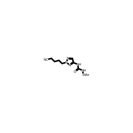 CSNC(=O)Nc1cnn(CCCCC#N)n1